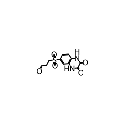 O=CCCS(=O)(=O)c1ccc2[nH]c(=O)c(=O)[nH]c2c1